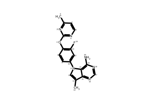 Cc1ccnc(Oc2ccc(-n3cc(C)c4ncnc(N)c43)cc2F)n1